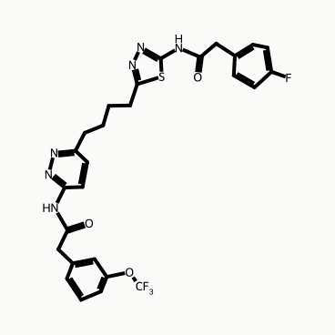 O=C(Cc1cccc(OC(F)(F)F)c1)Nc1ccc(CCCCc2nnc(NC(=O)Cc3ccc(F)cc3)s2)nn1